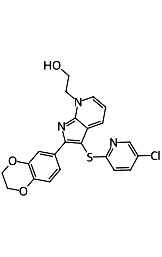 OCCn1cccc2c(Sc3ccc(Cl)cn3)c(-c3ccc4c(c3)OCCO4)nc1-2